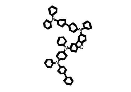 C1=CCCC(N(c2ccc(N(c3ccccc3)c3ccc(-c4ccccc4)cc3)cc2)c2ccc3oc4ccc(N(c5ccccc5)c5ccc(-c6ccc(N(c7ccccc7)c7ccccc7)cc6)cc5)cc4c3c2)=C1